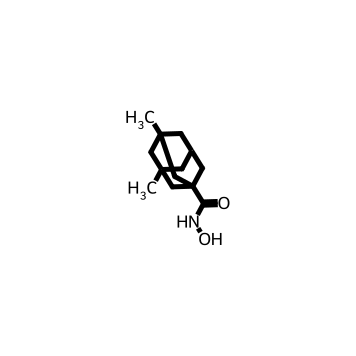 CC12CC3CC(C)(C1)CC(C(=O)NO)(C3)C2